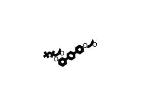 CC(C)(C)CC(C)(C)C(Oc1cccc(C2=CCC(c3ccc(OCC4CO4)cc3)=CC2)c1)C1CO1